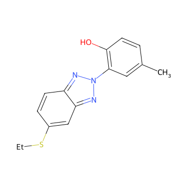 CCSc1ccc2nn(-c3cc(C)ccc3O)nc2c1